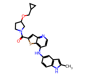 Cc1cc2cc(Nc3ccnc4cc(C(=O)N5CCC(OCC6CC6)C5)sc34)ccc2[nH]1